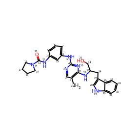 Bc1cnc(Nc2cccc(NC(=O)N3CCCC3)c2)nc1NC(CO)Cc1c[nH]c2ccccc12